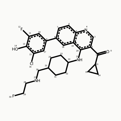 O=C(c1cnc2ccc(-c3cc(F)c(O)c(Cl)c3)cc2c1NC1CCC(CNCCF)CC1)C1CC1